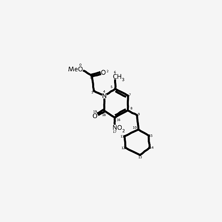 COC(=O)Cn1c(C)cc(CC2CCCCC2)c([N+](=O)[O-])c1=O